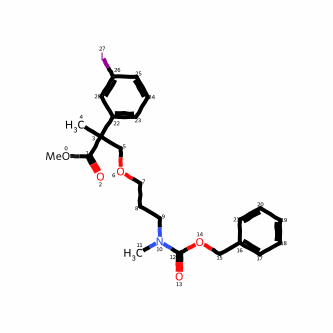 COC(=O)C(C)(COCCCN(C)C(=O)OCc1ccccc1)c1cccc(I)c1